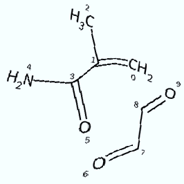 C=C(C)C(N)=O.O=CC=O